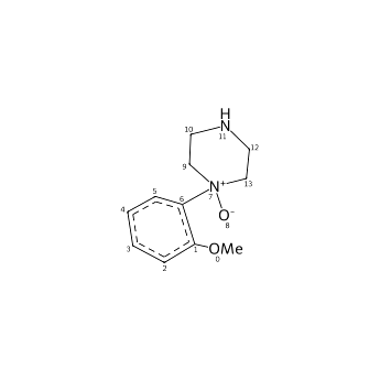 COc1ccccc1[N+]1([O-])CCNCC1